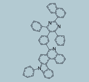 c1ccc(-c2nc(-c3cccc4ccccc34)nc(-c3ccccc3)c2-c2cccc(-c3nc4ccccc4c4c3ccc3c4c4ccccc4n3-c3ccccc3)c2)cc1